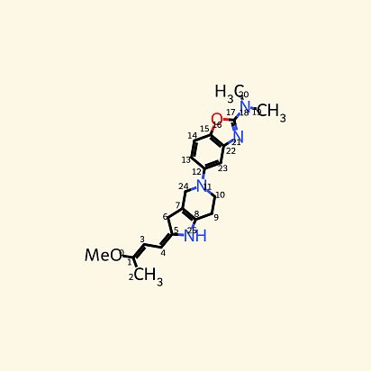 CO/C(C)=C/C=C1\CC2=C(CCN(c3ccc4oc(N(C)C)nc4c3)C2)N1